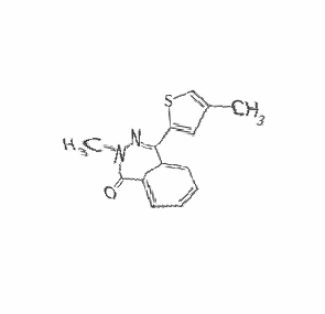 Cc1csc(-c2nn(C)c(=O)c3ccccc23)c1